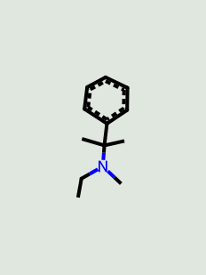 CCN(C)C(C)(C)c1ccccc1